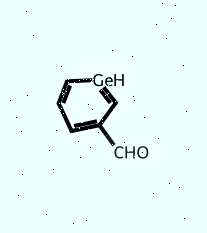 O=CC1=CC=[CH][GeH]=[CH]1